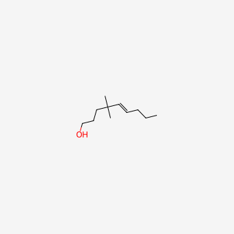 CCCC=CC(C)(C)CCCO